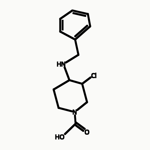 O=C(O)N1CCC(NCc2ccccc2)C(Cl)C1